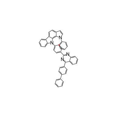 c1ccc(-c2ccc(-c3nc(-c4ccc(-n5c6ccccc6c6ccc7ccn(-c8ccccc8)c7c65)cc4)nc4ccccc34)cc2)cc1